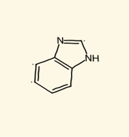 [c]1[c]c2n[c][nH]c2cc1